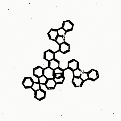 c1ccc2c(c1)-c1ccccc1C21c2cccc(-c3c4cccc(-c5cccc6c5c5cccc7c8ccccc8n6c75)c4cc4c(-c5cccc6c5c5cccc7c8ccccc8n6c75)cccc34)c2-c2c1ccc1ccccc21